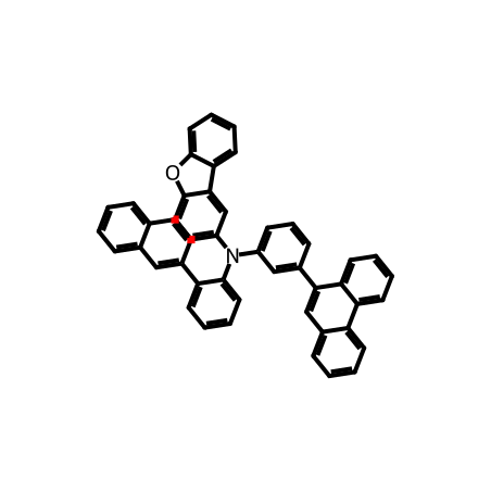 c1cc(-c2cc3ccccc3c3ccccc23)cc(N(c2ccc3oc4ccccc4c3c2)c2ccccc2-c2ccc3ccccc3c2)c1